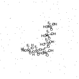 I.[O]=[Sb]([OH])([OH])[F].[O]=[Sb]([OH])([OH])[F].[O]=[Sb]([OH])([OH])[F].[O]=[Sb]([OH])([OH])[F].[O]=[Sb]([OH])([OH])[F].[O]=[Sb]([OH])([OH])[F]